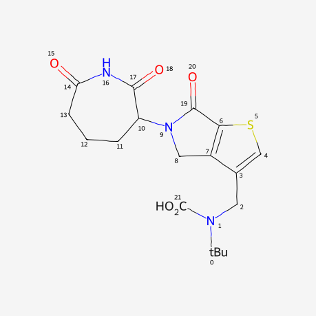 CC(C)(C)N(Cc1csc2c1CN(C1CCCC(=O)NC1=O)C2=O)C(=O)O